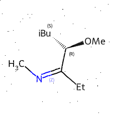 CC/C(=N/C)[C@H](OC)[C@@H](C)CC